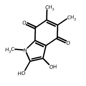 CC1=C(C)C(=O)c2c(c(O)c(O)n2C)C1=O